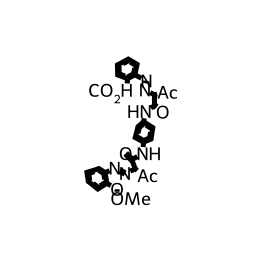 COOc1ccccc1/N=N/C(C(C)=O)C(=O)Nc1ccc(NC(=O)C(/N=N/c2ccccc2C(=O)O)C(C)=O)cc1